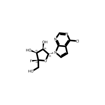 OC[C@@]1(F)O[C@@H](n2ccc3c(Cl)ncnc32)[C@H](O)[C@@H]1O